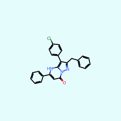 O=c1cc(-c2ccccc2)[nH]c2c(-c3ccc(Cl)cc3)c(Cc3ccccc3)nn12